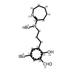 CCCCN(CCCc1cc(C(C)(C)C)cc(C=O)c1O)C1=NCCCCC1